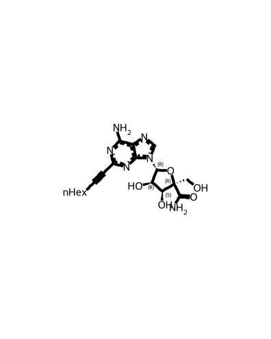 CCCCCCC#Cc1nc(N)c2ncn([C@@H]3O[C@@](CO)(C(N)=O)[C@@H](O)[C@H]3O)c2n1